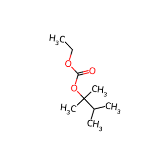 CCOC(=O)OC(C)(C)C(C)C